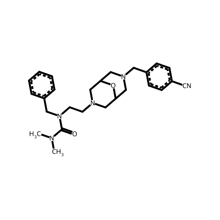 CN(C)C(=O)N(CCN1CC2CN(Cc3ccc(C#N)cc3)CC(C1)O2)Cc1ccccc1